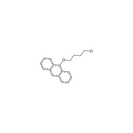 ClCCCCOc1c2ccccc2cc2ccccc12